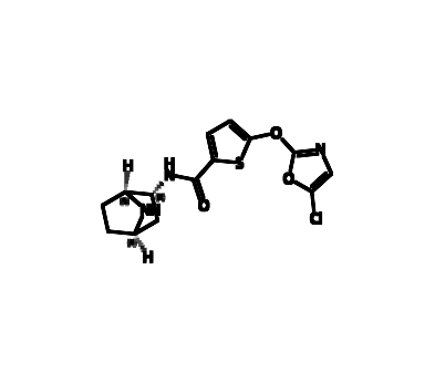 O=C(N[C@@H]1C[C@H]2CC[C@@H]1N2)c1ccc(Oc2ncc(Cl)o2)s1